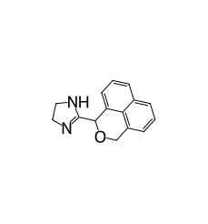 c1cc2c3c(cccc3c1)C(C1=NCCN1)OC2